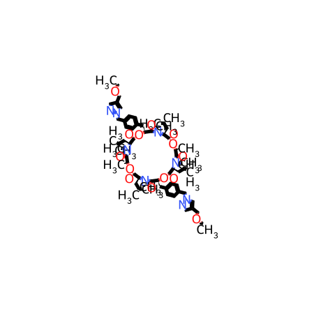 CCOCc1cnn(Cc2ccc(C[C@H]3OC(=O)[C@H](CC(C)C)N(C)C(=O)[C@@H](C)OC(=O)[C@H](CC(C)C)N(C)C(=O)[C@@H](Cc4ccc(Cn5cc(COCC)cn5)cc4)OC(=O)[C@H](CC(C)C)N(C)C(=O)[C@@H](C)OC(=O)[C@H](CC(C)C)N(C)C3=O)cc2)c1